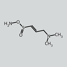 CN(C)C/C=C/S(=O)ON